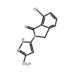 O=C(O)c1cc(N2Cc3cccc(Cl)c3C2=O)[nH]n1